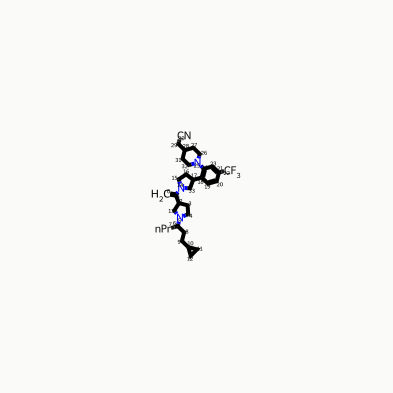 C=C(C1CCN(C(CCC)CCC2CC2)C1)N1CCC(c2ccc(C(F)(F)F)cc2N2CCC(CC#N)CC2)C1